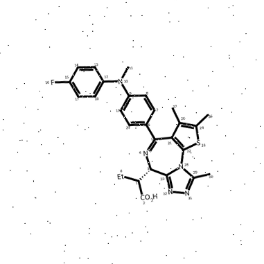 CCC(C(=O)O)[C@@H]1N=C(c2ccc(N(C)c3ccc(F)cc3)cc2)c2c(sc(C)c2C)-n2c(C)nnc21